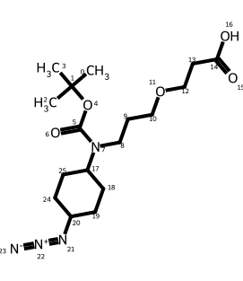 CC(C)(C)OC(=O)N(CCCOCCC(=O)O)C1CCC(N=[N+]=[N-])CC1